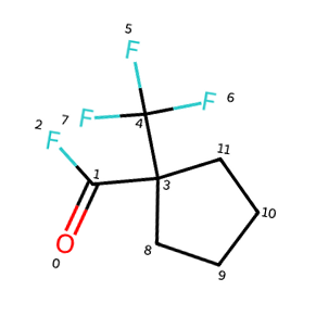 O=C(F)C1(C(F)(F)F)CCCC1